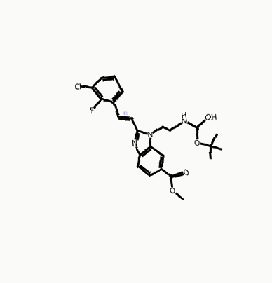 COC(=O)c1ccc2nc(/C=C/c3cccc(Cl)c3F)n(CCNC(O)OC(C)(C)C)c2c1